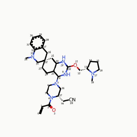 C=CC(=O)N1CCN(C2NC(OC[C@@H]3CCCN3C)NC3C[C@@]4(CCC32)Cc2ccccc2N(C)C4)C[C@@H]1CC#N